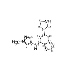 Cn1cc(Nc2nc([C@H]3CCNC3)cn3ncnc23)cn1